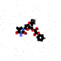 Cc1cn([C@H]2C[C@H](O[Si](C)(C)C(C)(C)C)[C@@H](COC(=O)C(=O)OC3CCCCC3)O2)c(=O)[nH]c1=O